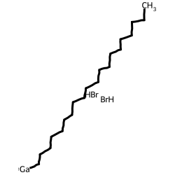 Br.Br.CCCCCCCCCCCCCCCCCCC[CH2][Ga]